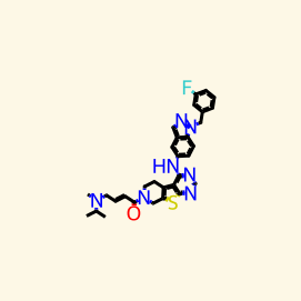 CC(C)N(C)CC=CC(=O)N1CCc2c(sc3ncnc(Nc4ccc5c(cnn5Cc5cccc(F)c5)c4)c23)C1